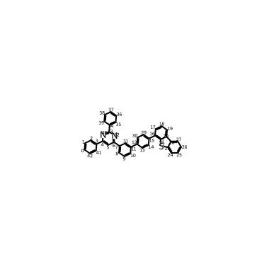 c1ccc(-c2cc(-c3cccc(-c4ccc(-c5cccc6c5sc5ccccc56)cc4)c3)nc(-c3ccccc3)n2)cc1